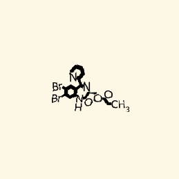 CCC(=O)OC[C@@H]1N=C(c2ccccn2)c2cc(Br)c(Br)cc2NC1=O